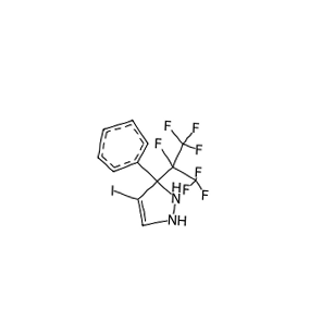 FC(F)(F)C(F)(C(F)(F)F)C1(c2ccccc2)NNC=C1I